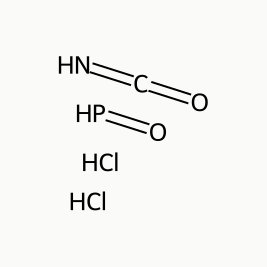 Cl.Cl.N=C=O.O=P